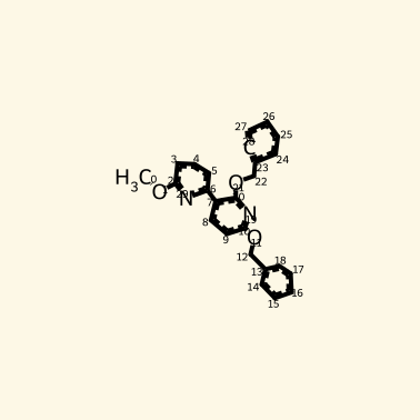 COc1cccc(-c2ccc(OCc3ccccc3)nc2OCc2ccccc2)n1